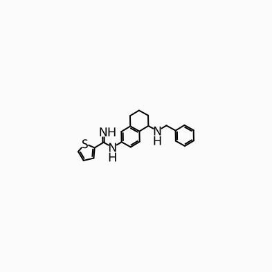 N=C(Nc1ccc2c(c1)CCCC2NCc1ccccc1)c1cccs1